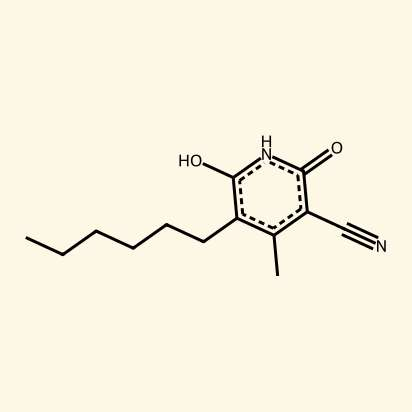 CCCCCCc1c(O)[nH]c(=O)c(C#N)c1C